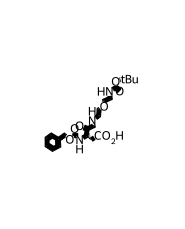 CC(C)(C)OC(=O)NCCOCCNCC(=O)[C@H](CC(=O)O)NC(=O)OCc1ccccc1